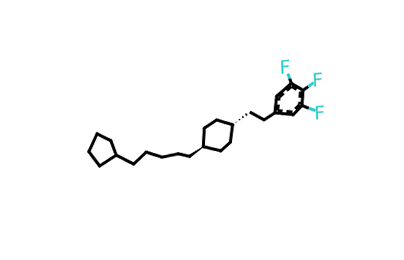 Fc1cc(CC[C@H]2CC[C@H](CCCCCC3CCCC3)CC2)cc(F)c1F